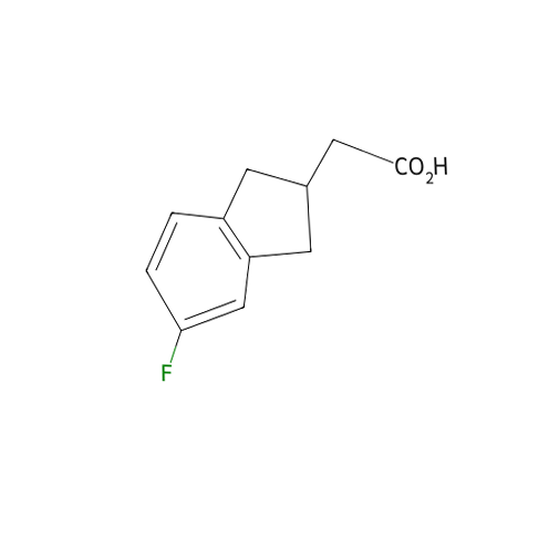 O=C(O)CC1Cc2ccc(F)cc2C1